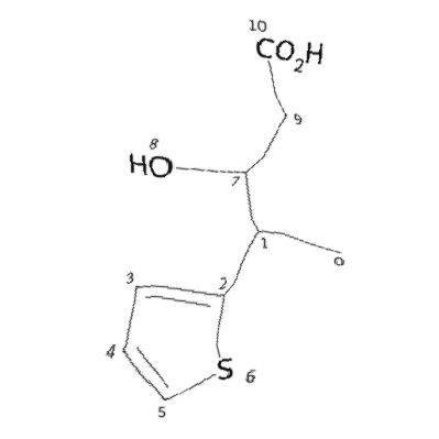 CC(c1cccs1)C(O)CC(=O)O